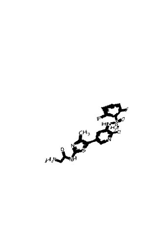 Cc1nc(NC(=O)CN)sc1-c1cnc(Cl)c(N[SH](C)(=O)c2c(F)cccc2F)c1